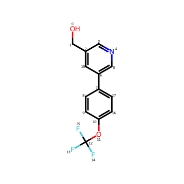 OCc1cncc(-c2ccc(OC(F)(F)F)cc2)c1